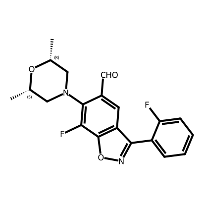 C[C@@H]1CN(c2c(C=O)cc3c(-c4ccccc4F)noc3c2F)C[C@H](C)O1